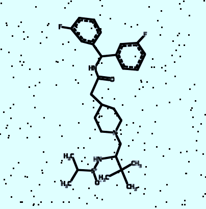 CC(C)[S+]([O-])NC(CN1CCC(CC(=O)NC(c2cccc(F)c2)c2cccc(F)c2)CC1)C(C)(C)C